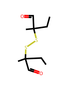 CCC(C)(C=O)SSC(C)(C=O)CC